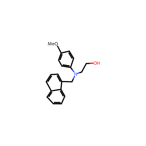 COc1ccc(N(CCO)Cc2cccc3ccccc23)cc1